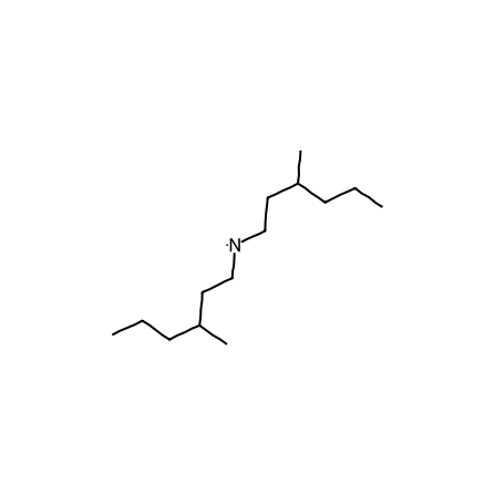 CCCC(C)CC[N]CCC(C)CCC